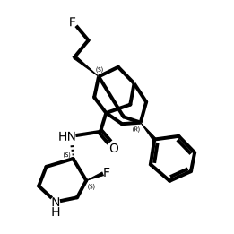 O=C(N[C@H]1CCNC[C@@H]1F)C12CC3C[C@@](CCF)(C1)C[C@](c1ccccc1)(C3)C2